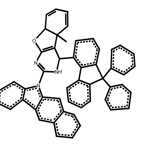 CC12C=CC=CC1OC1=C2C(c2cccc3c2-c2ccccc2C3(c2ccccc2)c2ccccc2)NC(n2c3ccccc3c3cc4ccccc4cc32)=N1